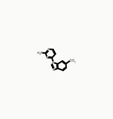 Nc1nccc(-n2cnc3ccc(C(Cl)(Cl)Cl)cc32)n1